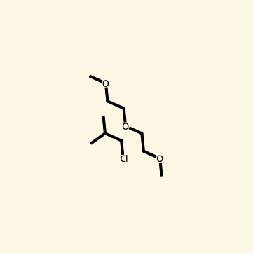 CC(C)CCl.COCCOCCOC